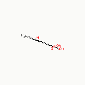 CCCCCCC(O)C/C=C/CCCCCCCC(=O)OCC(O)CO